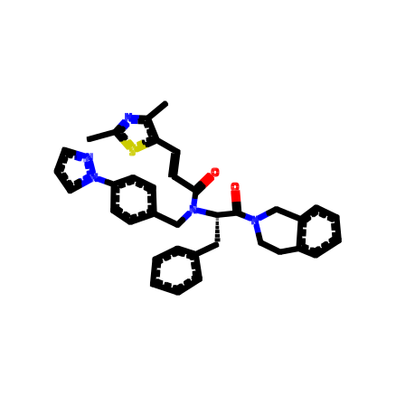 Cc1nc(C)c(/C=C/C(=O)N(Cc2ccc(-n3cccn3)cc2)[C@@H](Cc2ccccc2)C(=O)N2CCc3ccccc3C2)s1